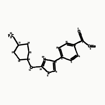 COC(=O)c1ccc(-c2csc(OC3CCC(C(F)(F)F)CC3)n2)cc1